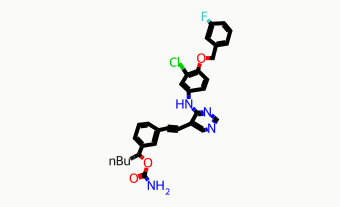 CCCCC(OC(N)=O)c1cccc(C#Cc2cncnc2Nc2ccc(OCc3cccc(F)c3)c(Cl)c2)c1